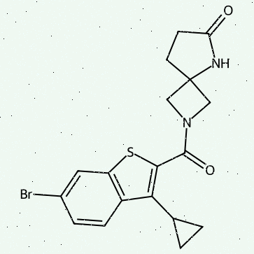 O=C1CCC2(CN(C(=O)c3sc4cc(Br)ccc4c3C3CC3)C2)N1